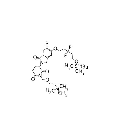 CC(C)(C)[Si](C)(C)OCCC(F)(F)CCOc1cc2c(cc1F)C(=O)N(C1CCC(=O)N(COCC[Si](C)(C)C)C1=O)C2